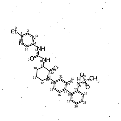 CCc1cnc(NC(=O)N[C@@H]2CCCN(c3ccc(-c4ccccc4NS(C)(=O)=O)c(F)c3)C2=O)cn1